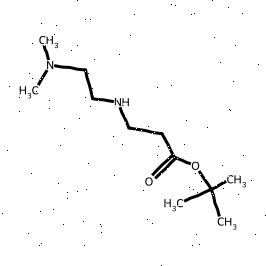 CN(C)CCNCCC(=O)OC(C)(C)C